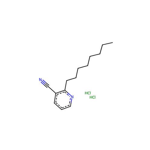 CCCCCCCCc1ncccc1C#N.Cl.Cl